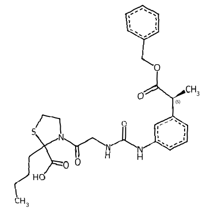 CCCCC1(C(=O)O)SCCN1C(=O)CNC(=O)Nc1cccc([C@H](C)C(=O)OCc2ccccc2)c1